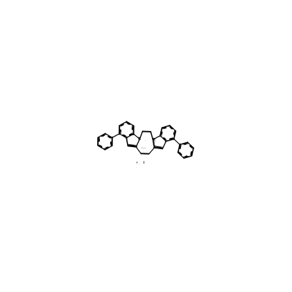 C1=C2CCC3=Cc4c(-c5ccccc5)cccc4[C]34CC[C]2([Zr+2]4)c2cccc(-c3ccccc3)c21.[Cl-].[Cl-]